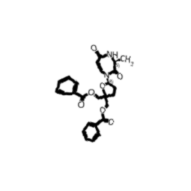 C[C@@H]1NC(=O)C=CN([C@H]2CCC(COC(=O)c3ccccc3)(COC(=O)c3ccccc3)O2)C1=O